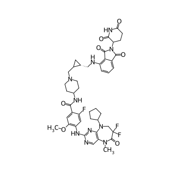 COc1cc(C(=O)NC2CCN(CC3C[C@@H]3CNc3cccc4c3C(=O)N(C3CCC(=O)NC3=O)C4=O)CC2)c(F)cc1Nc1ncc2c(n1)N(C1CCCC1)CC(F)(F)C(=O)N2C